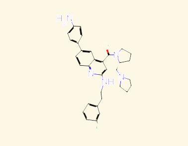 Nc1ccc(-c2ccc3nc(NCCc4cccc(Cl)c4)cc(C(=O)N4CCC[C@H]4CN4CCCC4)c3c2)cc1